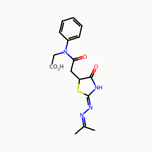 CC(C)=NN=C1NC(=O)C(CC(=O)N(CC(=O)O)c2ccccc2)S1